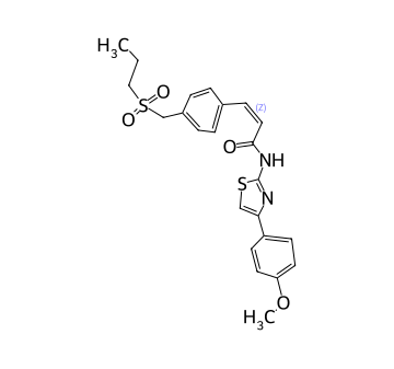 CCCS(=O)(=O)Cc1ccc(/C=C\C(=O)Nc2nc(-c3ccc(OC)cc3)cs2)cc1